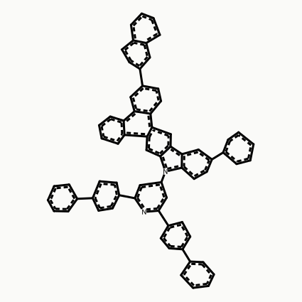 c1ccc(-c2ccc(-c3cc(-n4c5ccc(-c6ccccc6)cc5c5cc6c7ccc(-c8ccc9ccccc9c8)cc7c7ccccc7c6cc54)cc(-c4ccc(-c5ccccc5)cc4)n3)cc2)cc1